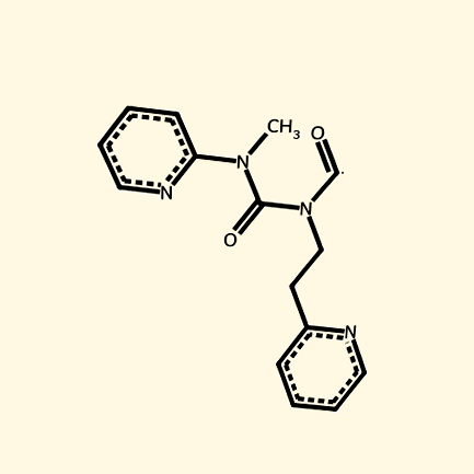 CN(C(=O)N([C]=O)CCc1ccccn1)c1ccccn1